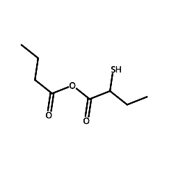 CCCC(=O)OC(=O)C(S)CC